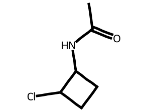 CC(=O)NC1CCC1Cl